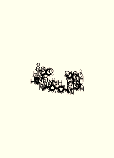 COC(=O)N[C@H](C(=O)N1[C@@H]2C[C@@H]2C[C@H]1c1ncc(-c2ccc(-c3ccc(-c4cnc([C@@H]5C[C@H]6C[C@H]6N5C(=O)[C@@H](NC(=O)OC)C5CCOCC5)[nH]4)c4nc[nH]c34)cc2)[nH]1)C1CCOCC1